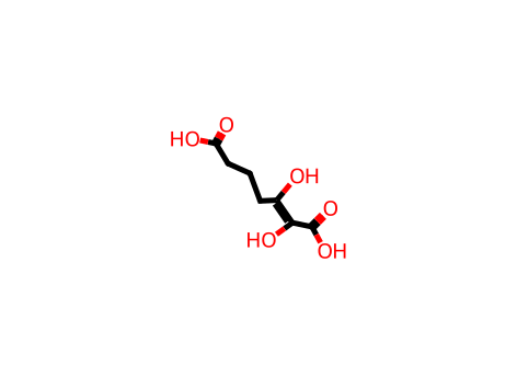 O=C(O)CCCC(O)=C(O)C(=O)O